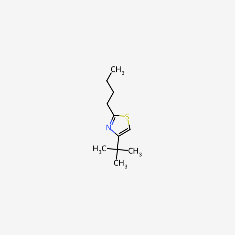 CCCCc1nc(C(C)(C)C)cs1